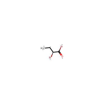 CC[C@H](Br)C(=O)Br